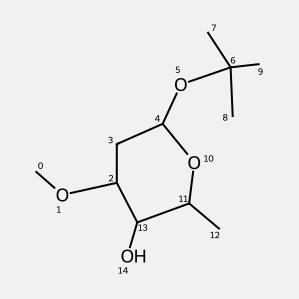 COC1CC(OC(C)(C)C)OC(C)C1O